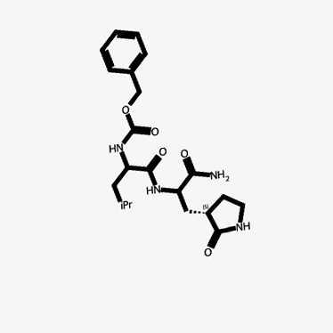 CC(C)CC(NC(=O)OCc1ccccc1)C(=O)NC(C[C@@H]1CCNC1=O)C(N)=O